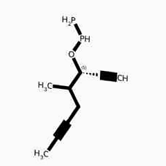 C#C[C@@H](OPP)C(C)CC#CC